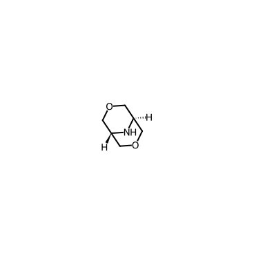 C1OC[C@H]2COC[C@H]1N2